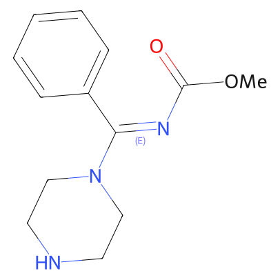 COC(=O)/N=C(\c1ccccc1)N1CCNCC1